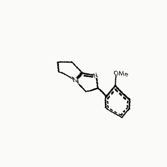 COc1ccccc1C1CN2CCCC2=N1